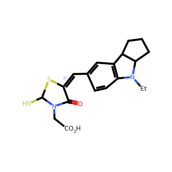 CCN1c2ccc(/C=C3/SC(S)N(CC(=O)O)C3=O)cc2C2CCCC21